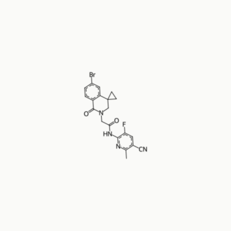 Cc1nc(NC(=O)CN2CC3(CC3)c3cc(Br)ccc3C2=O)c(F)cc1C#N